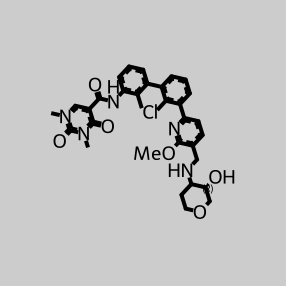 COc1nc(-c2cccc(-c3cccc(NC(=O)c4cn(C)c(=O)n(C)c4=O)c3C)c2Cl)ccc1CNC1CCOC[C@@H]1O